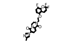 Cc1cn(-c2ccc3n(c2=O)CCN(CCOc2ccc(F)c4c2C=CC(F)(F)O4)C3=O)cn1